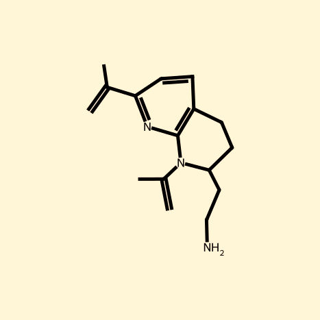 C=C(C)c1ccc2c(n1)N(C(=C)C)C(CCN)CC2